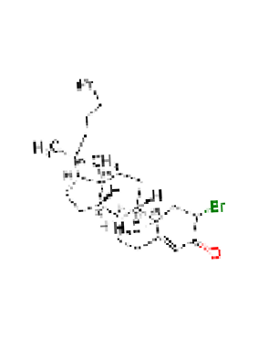 CC(C)CCC[C@@H](C)[C@H]1CC[C@H]2[C@@H]3CCC4=CC(=O)C(Br)C[C@]4(C)[C@H]3CC[C@]12C